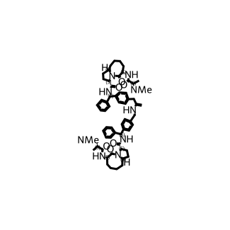 C=C(Cc1ccc([C@@H](NC(=O)[C@@H]2CC[C@@H]3CCCC[C@H](NC(=O)[C@H](C)NC)C(=O)N32)c2ccccc2)cc1)NCc1ccc([C@@H](NC(=O)[C@@H]2CC[C@@H]3CCCC[C@H](NC(=O)[C@H](C)NC)C(=O)N32)c2ccccc2)cc1